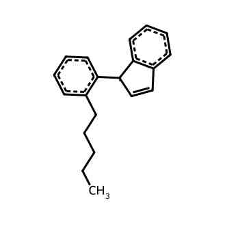 CCCCCc1ccccc1[C]1C=Cc2ccccc21